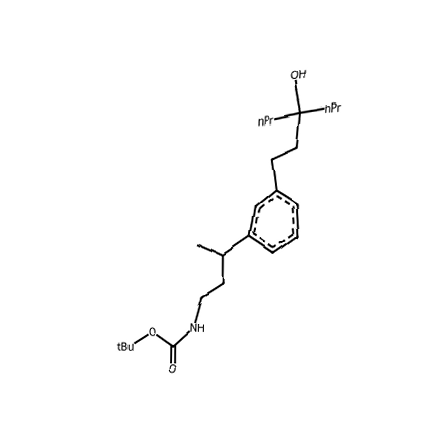 CCCC(O)(CCC)CCc1cccc(C(C)CCNC(=O)OC(C)(C)C)c1